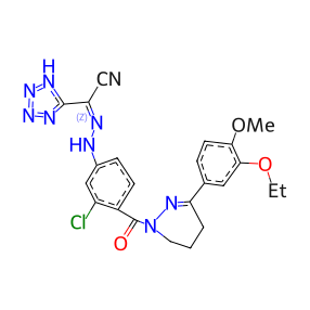 CCOc1cc(C2=NN(C(=O)c3ccc(N/N=C(/C#N)c4nnn[nH]4)cc3Cl)CCC2)ccc1OC